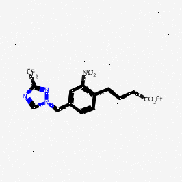 CCOC(=O)CCCc1ccc(Cn2cnc(C(F)(F)F)n2)cc1[N+](=O)[O-]